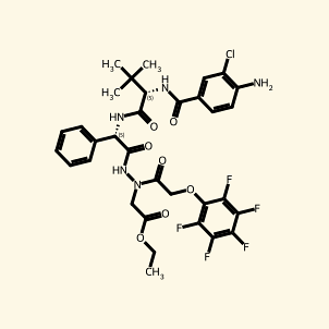 CCOC(=O)CN(NC(=O)[C@@H](NC(=O)[C@@H](NC(=O)c1ccc(N)c(Cl)c1)C(C)(C)C)c1ccccc1)C(=O)COc1c(F)c(F)c(F)c(F)c1F